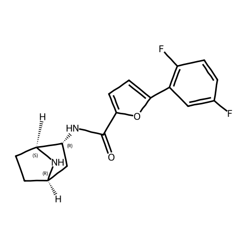 O=C(N[C@@H]1C[C@H]2CC[C@@H]1N2)c1ccc(-c2cc(F)ccc2F)o1